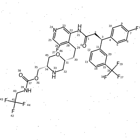 O=C(C[C@@H](c1ccc(F)cc1)c1cccc(C(F)(F)F)c1)Nc1cncc(F)c1CC[C@@H]1CN[C@H](COC(=O)NCC(F)(F)F)CO1